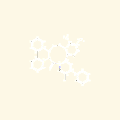 C=C1C2C(CCc3c(ccc(C(F)(F)F)c3C(F)(F)F)-c3cc(-c4ccccc4)c(C)c[n+]31)c1ccccc1-c1cccc[n+]12